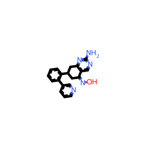 Nc1ncc2c(n1)CC(c1ccccc1-c1cccnc1)C/C2=N/O